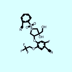 N#Cc1cc(OCC(F)(F)F)c(OC2CN(S(=O)(=O)c3ccccc3C#N)C[C@@]2(O)CO)cc1F